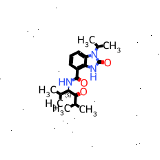 CC(C)C(=O)[C@@H](NC(=O)c1cccc2c1[nH]c(=O)n2C(C)C)C(C)C